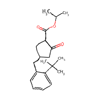 CC(C)OC(=O)C1CC(Cc2ccccc2C(C)(C)C)CC1=O